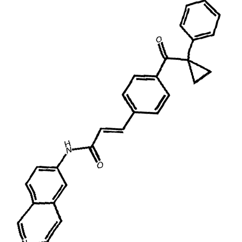 O=C(/C=C/c1ccc(C(=O)C2(c3ccccc3)CC2)cc1)Nc1ccc2cnccc2c1